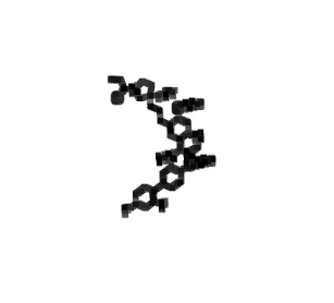 C=CC(=O)N1CCC(CCC)(CCCc2cc3c(Nc4cc(-c5ccc(F)cc5F)ccc4OC)ncnc3cc2OC)C1